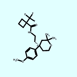 COc1ccc([C@]2(CCNC(=O)C3(C(F)(F)F)CCC3)CCOC(C)(C)C2)cc1